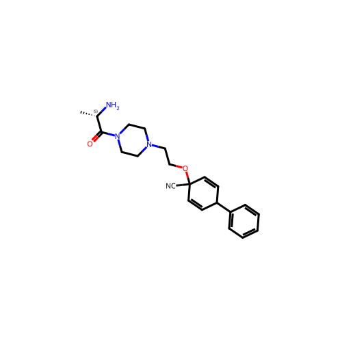 C[C@H](N)C(=O)N1CCN(CCOC2(C#N)C=CC(c3ccccc3)C=C2)CC1